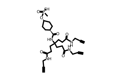 C#CCNC(=O)CCC(CCC(=O)NCC#C)(CCC(=O)NCC#C)NC(=O)[C@H]1CC[C@H](OP(C)(=O)S)CC1